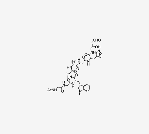 CC(=O)NCC(=O)NCC(=O)NC(Cc1c[nH]c2ccccc12)C(=O)NC(C)C(=O)NC(C(=O)NCC(=O)NC(Cc1c[nH]cn1)C(=O)NCC(O)CC=O)C(C)C